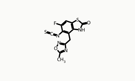 Cc1nc(Cc2c(N=C=S)c(F)cc3sc(=O)[nH]c23)no1